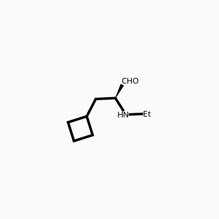 CCN[C@H](C=O)CC1CCC1